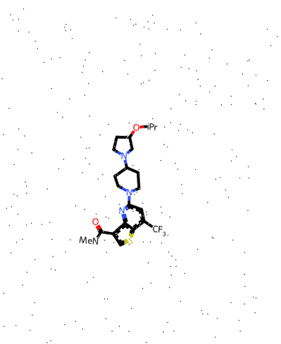 CNC(=O)c1csc2c(C(F)(F)F)cc(N3CCC(N4CCC(OC(C)C)C4)CC3)nc12